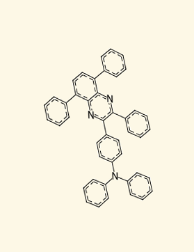 c1ccc(-c2nc3c(-c4ccccc4)ccc(-c4ccccc4)c3nc2-c2ccc(N(c3ccccc3)c3ccccc3)cc2)cc1